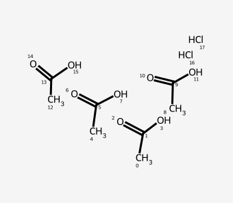 CC(=O)O.CC(=O)O.CC(=O)O.CC(=O)O.Cl.Cl